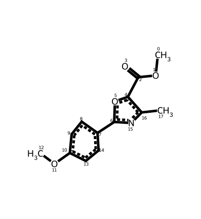 COC(=O)c1oc(-c2ccc(OC)cc2)nc1C